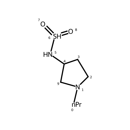 CCCN1CCC(N[SH](=O)=O)C1